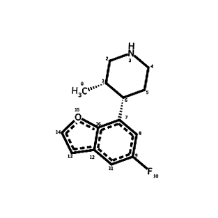 C[C@@H]1CNCC[C@@H]1c1cc(F)cc2ccoc12